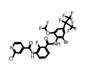 O=C(Nc1cccc(C(=O)Nc2c(Br)cc(C(F)(C(F)(F)F)C(F)(F)F)cc2OC(F)F)c1F)c1ccnc(Cl)c1